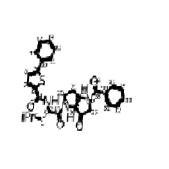 CC(C)C[C@H](NC(=O)c1ccc(-c2ccccc2)s1)C(=O)N1CC[C@@H]2[C@H]1C(=O)CN2C(=O)c1ccccc1